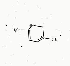 CC1=CC=C(C)NC1